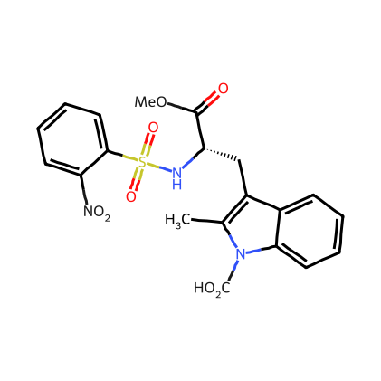 COC(=O)[C@H](Cc1c(C)n(C(=O)O)c2ccccc12)NS(=O)(=O)c1ccccc1[N+](=O)[O-]